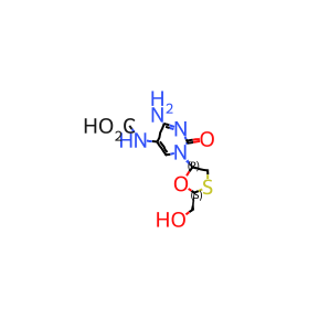 Nc1nc(=O)n([C@H]2CS[C@@H](CO)O2)cc1NC(=O)O